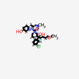 CNC[C@H](C[C@H]1CC[C@@H](O)CC1)NC(=O)N1CCC[C@@H]([C@@](O)(CCCCOC)c2cccc(Cl)c2F)C1